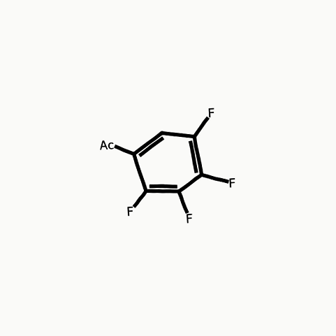 CC(=O)c1cc(F)c(F)c(F)c1F